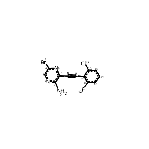 Nc1ncc(Br)nc1C#Cc1c(F)cccc1Cl